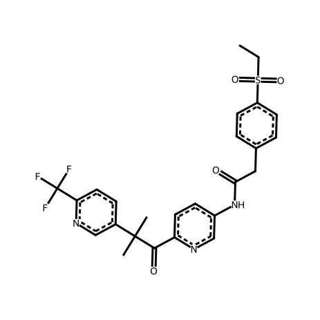 CCS(=O)(=O)c1ccc(CC(=O)Nc2ccc(C(=O)C(C)(C)c3ccc(C(F)(F)F)nc3)nc2)cc1